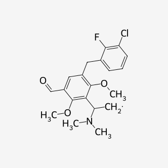 [CH2]C(c1c(OC)c(C=O)cc(Cc2cccc(Cl)c2F)c1OC)N(C)C